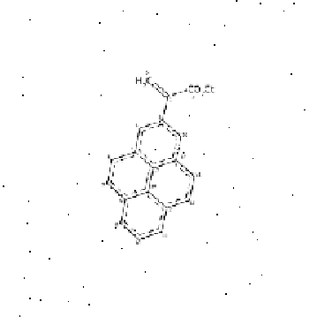 C=C(C(=O)OCC)c1cc2ccc3cccc4ccc(c1)c2c34